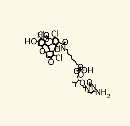 CC(C)[C@@H](COP(=O)(O)OCCCCCCNC(=O)c1cc(Cl)c(C(=O)O)c(-c2c3cc(Cl)c(=O)cc-3oc3cc(O)c(Cl)cc23)c1Cl)OCn1ccc(N)nc1=O